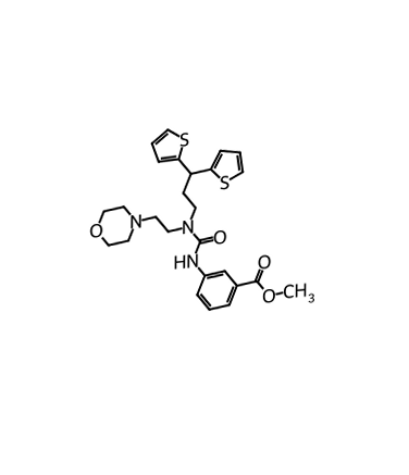 COC(=O)c1cccc(NC(=O)N(CCC(c2cccs2)c2cccs2)CCN2CCOCC2)c1